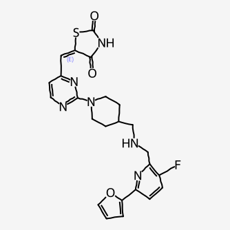 O=C1NC(=O)/C(=C\c2ccnc(N3CCC(CNCc4nc(-c5ccco5)ccc4F)CC3)n2)S1